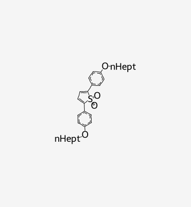 CCCCCCCOc1ccc(C2=CC=C(c3ccc(OCCCCCCC)cc3)S2(=O)=O)cc1